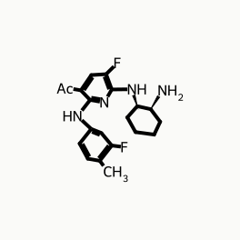 CC(=O)c1cc(F)c(N[C@@H]2CCCC[C@@H]2N)nc1Nc1ccc(C)c(F)c1